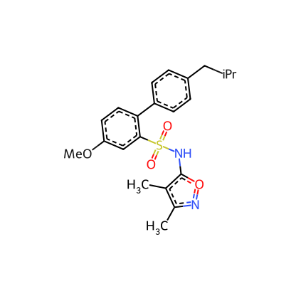 COc1ccc(-c2ccc(CC(C)C)cc2)c(S(=O)(=O)Nc2onc(C)c2C)c1